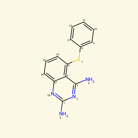 Nc1nc(N)c2c(Sc3ccccc3)cccc2n1